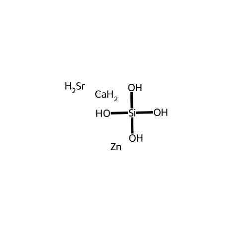 O[Si](O)(O)O.[CaH2].[SrH2].[Zn]